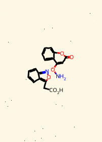 NOc1cc(=O)oc2ccccc12.O=C(O)Cc1onc2ccccc12